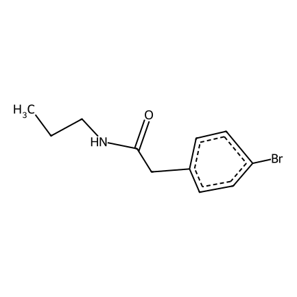 CCCNC(=O)Cc1ccc(Br)cc1